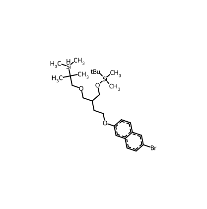 C[SiH](C)C(C)(C)COCC(CCOc1ccc2cc(Br)ccc2c1)CO[Si](C)(C)C(C)(C)C